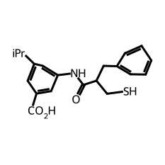 CC(C)c1cc(NC(=O)C(CS)Cc2ccccc2)cc(C(=O)O)c1